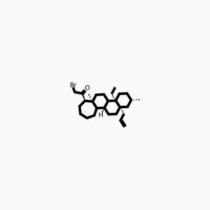 C=CC[C@]12CC[C@@H]3C(CC[C@@]4(C)C3CCCC[C@H]4C(=O)CBr)[C@@]1(CC)CC[C@H](C)C2